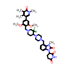 COc1cc(-c2cn(C)c(=O)c(C)c2C)cc(OC)c1CN1CCC(N2CCN(Cc3cccc4c3n(C)c(=O)n4C3CCC(=O)NC3=O)CC2)C(F)(F)C1